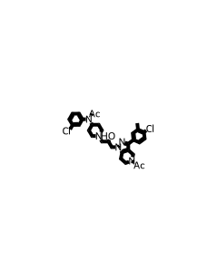 CC(=O)N1CCc2c(c(-c3ccc(Cl)c(C)c3)nn2CC(O)CN2CCC(N(C(C)=O)c3cccc(Cl)c3)CC2)C1